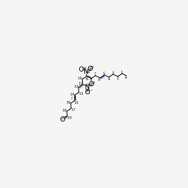 CCCCC/C=C/C/C=C(/C/C(=C/C/C=C/CCC[C]=O)[N+](=O)[O-])[N+](=O)[O-]